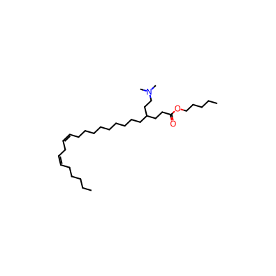 CCCCC/C=C\C/C=C\CCCCCCCCCC(CCC(=O)OCCCCC)CCN(C)C